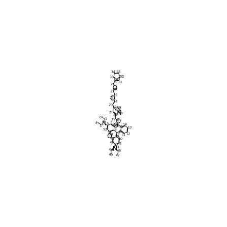 CCN(CC)c1ccc2c(-c3ccccc3C(=O)OCc3cn(CCOCCOCC4CC5C=CC4C5)nn3)c3ccc(=[N+](CC)CC)cc-3oc2c1